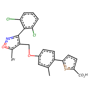 Cc1cc(OCc2c(-c3c(Cl)cccc3Cl)noc2C(C)C)ccc1-c1ccc(C(=O)O)s1